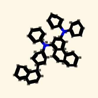 c1ccc(N(c2ccccc2)c2cc(N(c3ccccc3)c3ccc(-c4cccc5ccccc45)cc3)c3ccc4ccccc4c3c2)cc1